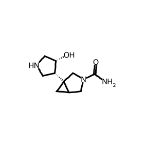 NC(=O)N1CC2CC2([C@@H]2CNC[C@@H]2O)C1